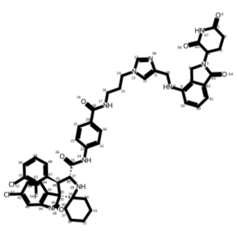 O=C1CCC(N2Cc3c(NCc4cn(CCCNC(=O)c5ccc(NC(=O)[C@@H]6NC7(CCCCC7)[C@@]7(C(=O)Nc8cc(Cl)ccc87)[C@H]6c6cccc(Cl)c6F)cc5)cn4)cccc3C2=O)C(=O)N1